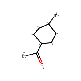 CCC(=O)C1CCC(C(C)C)CC1